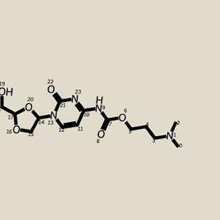 CN(C)CCCOC(=O)Nc1ccn(C2COC(CO)O2)c(=O)n1